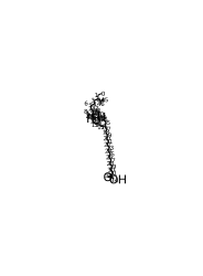 CC[C@H](CC[C@@H](C)[C@H]1CC[C@H]2[C@@H]3CC=C4CC(CCCCCCCCCCCCCCCC(=O)O)CC[C@]4(C)[C@H]3CC[C@]12C)C(C)C